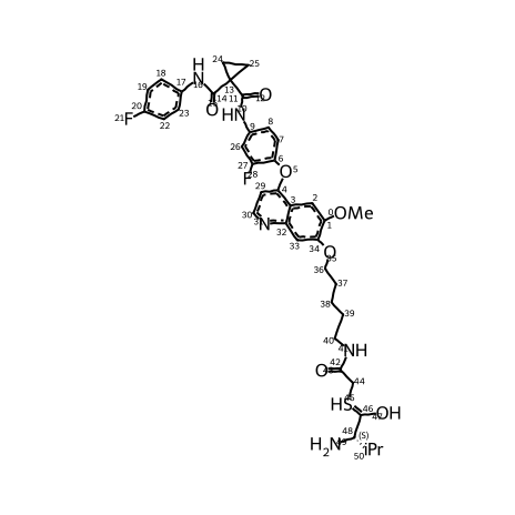 COc1cc2c(Oc3ccc(NC(=O)C4(C(=O)Nc5ccc(F)cc5)CC4)cc3F)ccnc2cc1OCCCCCNC(=O)C[SH]=C(O)[C@@H](N)C(C)C